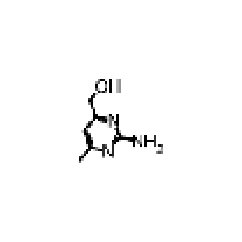 Cc1cc(CO)nc(N)n1